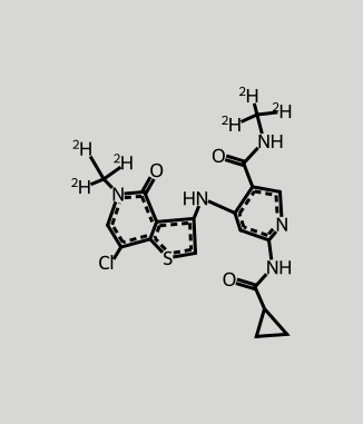 [2H]C([2H])([2H])NC(=O)c1cnc(NC(=O)C2CC2)cc1Nc1csc2c(Cl)cn(C([2H])([2H])[2H])c(=O)c12